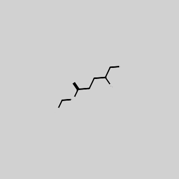 CCOC(=O)CCC(N)CC